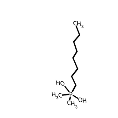 CCCCCCCCP(C)(C)(O)O